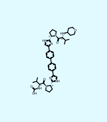 CC(C)[C@H](NC(=O)O)C(=O)N1CCC[C@H]1c1nc(-c2ccc(-c3ccc(-c4c[nH]c([C@@H]5CCCN5C(=O)[C@H](NC5CCOCC5)C(C)C)n4)cc3)cc2)c[nH]1